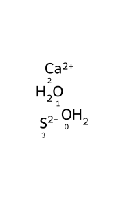 O.O.[Ca+2].[S-2]